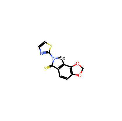 S=c1c2ccc3c(c2[se]n1-c1nccs1)OCO3